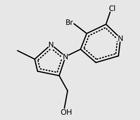 Cc1cc(CO)n(-c2ccnc(Cl)c2Br)n1